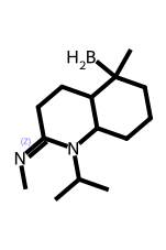 BC1(C)CCCC2C1CC/C(=N/C)N2C(C)C